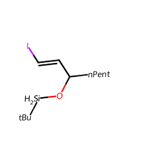 CCCCCC(C=CI)O[SiH2]C(C)(C)C